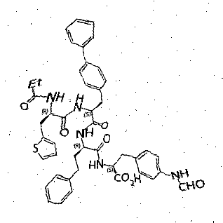 CCC(=O)N[C@H](Cc1cccs1)C(=O)N[C@@H](Cc1ccc(-c2ccccc2)cc1)C(=O)N[C@H](CCc1ccccc1)C(=O)N[C@@H](Cc1ccc(NC=O)cc1)C(=O)O